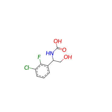 O=C(O)NC(CO)c1cccc(Cl)c1F